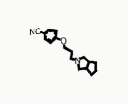 N#Cc1ccc(OCCCN2CC3CCCC3C2)cc1